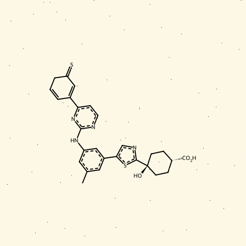 Cc1cc(Nc2nccc(C3=CC(=S)CC=C3)n2)cc(-c2cnc([C@]3(O)CC[C@H](C(=O)O)CC3)s2)c1